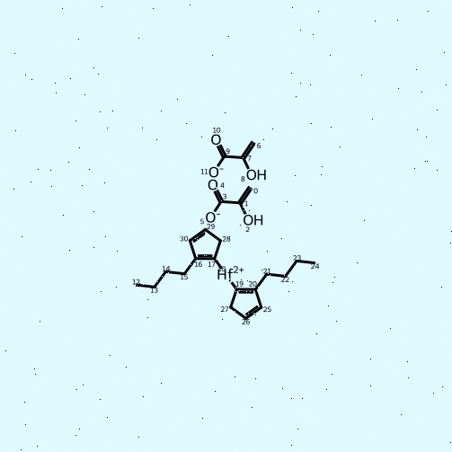 C=C(O)C(=O)[O-].C=C(O)C(=O)[O-].CCCCC1=[C]([Hf+2][C]2=C(CCCC)C=CC2)CC=C1